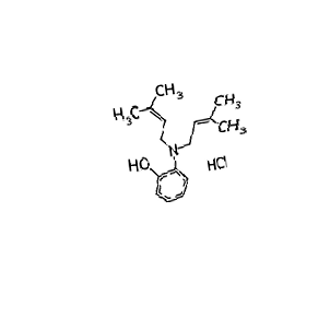 CC(C)=CCN(CC=C(C)C)c1ccccc1O.Cl